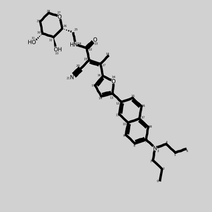 CCCN(CCC)c1ccc2cc(-c3ccc(/C(C)=C(\C#N)C(=O)NC[C@H]4OCC[C@@H](O)[C@@H]4O)o3)ccc2c1